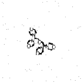 C1CN(C(COCC(N2CCOCC2)N2CCOCC2)N2CCOCC2)CCO1